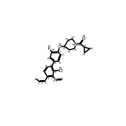 C=Nc1c(/C=C\C)ccc(-c2ccc(OC3CCN(C(=O)C4CC4)CC3)c(F)c2)c1Cl